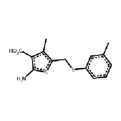 Cc1cccc(SCc2sc(N)c(C(=O)O)c2C)c1